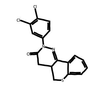 O=C1CC2CSc3ccccc3C2=NN1c1ccc(Cl)c(Cl)c1